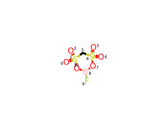 O=S1(=O)CS(=O)(=O)OB(F)O1